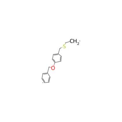 [CH2]CSCc1ccc(OCc2cc[c]cc2)cc1